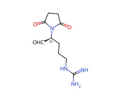 N=C(N)NCCC[C@@H]([C]=O)N1C(=O)CCC1=O